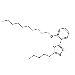 CCCCCCCCCCOc1ccccc1-c1nnc(CCCCC)s1